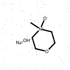 C[N+]1([O-])CCOCC1.[Na+].[OH-]